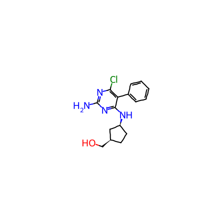 Nc1nc(Cl)c(-c2ccccc2)c(N[C@H]2CC[C@@H](CO)C2)n1